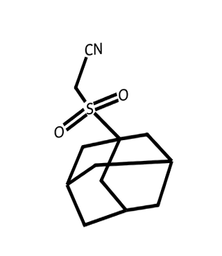 N#CCS(=O)(=O)C12CC3CC(CC(C3)C1)C2